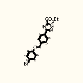 CCOC(=O)c1nc(-c2ccc(COc3ccc(Br)cc3)cc2)no1